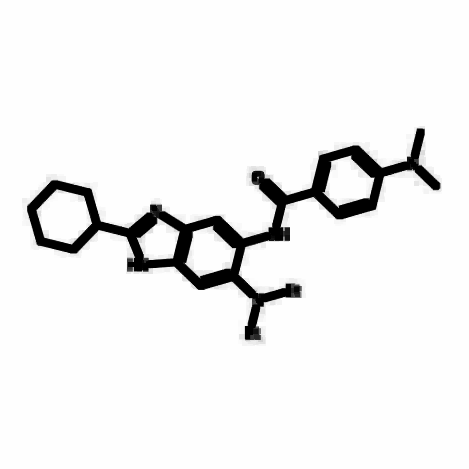 CCN(CC)c1cc2[nH]c(C3CCCCC3)nc2cc1NC(=O)c1ccc(N(C)C)cc1